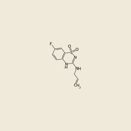 C=CCNC1=NS(=O)(=O)c2cc(F)ccc2N1